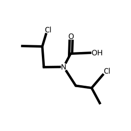 CC(Cl)CN(CC(C)Cl)C(=O)O